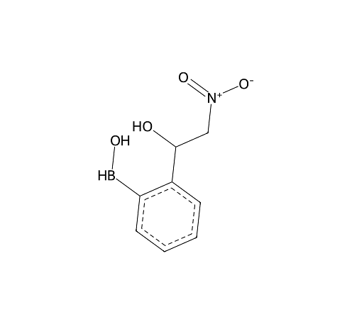 O=[N+]([O-])CC(O)c1ccccc1BO